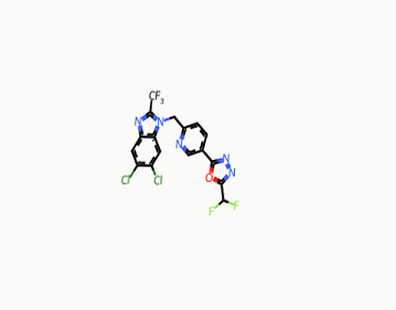 FC(F)c1nnc(-c2ccc(Cn3c(C(F)(F)F)nc4cc(Cl)c(Cl)cc43)nc2)o1